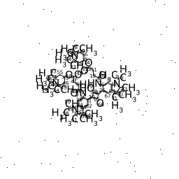 CC(C)N1c2cc(NC(=O)CCC(=O)OC3CC(C)(C)N(C)C(C)(C)C3)c(C3=C(O)/C(=c4/cc5c(cc4NC(=O)CCC(=O)OC4CC(C)(C)N(C)C(C)(C)C4)=[N+](C(C)C)C(C)C5(C)C)C3=O)cc2C(C)(C)C1C